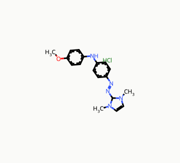 COc1ccc(Nc2ccc(N=NC3N(C)C=CN3C)cc2)cc1.Cl